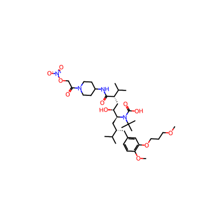 COCCCOc1cc(C[C@@H](C[C@@H]([C@@H](O)C[C@H](C(=O)NC2CCN(C(=O)CO[N+](=O)[O-])CC2)C(C)C)N(C(=O)O)C(C)(C)C)C(C)C)ccc1OC